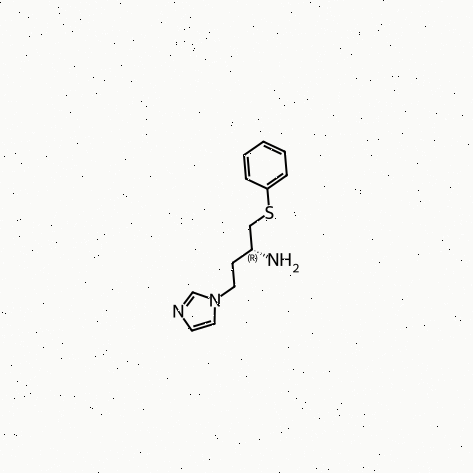 N[C@H](CCn1ccnc1)CSc1ccccc1